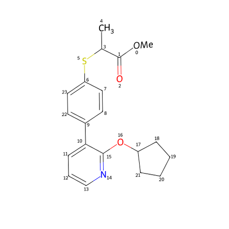 COC(=O)C(C)Sc1ccc(-c2cccnc2OC2CCCC2)cc1